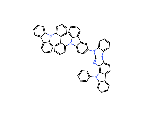 c1ccc(-n2c3ccccc3c3ccc4c(nc5n(-c6ccc7c(c6)c6ccccc6n7-c6ccccc6-c6ccccc6-n6c7ccccc7c7ccccc76)c6ccccc6n45)c32)cc1